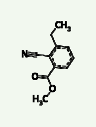 CCc1cccc(C(=O)OC)c1C#N